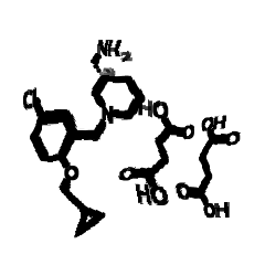 NC[C@@H]1CCCN(Cc2cc(Cl)ccc2OCC2CC2)C1.O=C(O)CCC(=O)O.O=C(O)CCC(=O)O